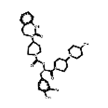 O=C(O[C@H](Cc1ccc(O)c(Br)c1)C(=O)N1CCC(N2CCC(O)CC2)CC1)N1CCC(N2CCc3ccccc3NC2=O)CC1